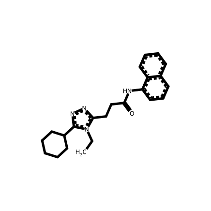 CCn1c(CCC(=O)Nc2cccc3ccccc23)nnc1C1CCCCC1